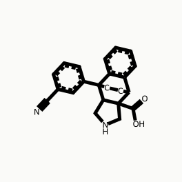 N#Cc1cccc(C23CCC(c4ccccc42)C2(C(=O)O)CNCC32)c1